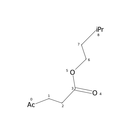 CC(=O)CCC(=O)OCCC(C)C